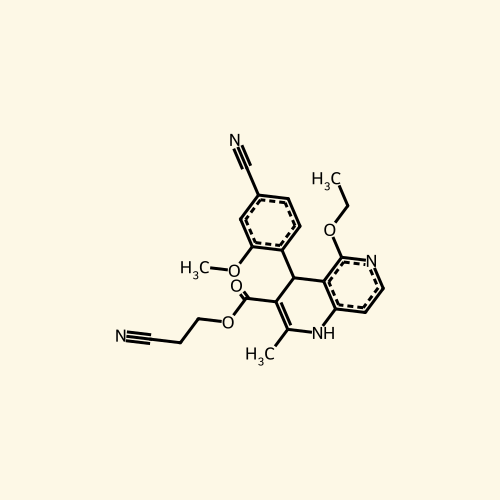 CCOc1nccc2c1C(c1ccc(C#N)cc1OC)C(C(=O)OCCC#N)=C(C)N2